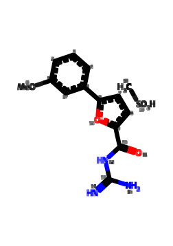 COc1cccc(-c2ccc(C(=O)NC(=N)N)o2)c1.CS(=O)(=O)O